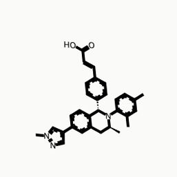 Cc1ccc(N2[C@@H](c3ccc(/C=C/C(=O)O)cc3)c3ccc(-c4cnn(C)c4)cc3C[C@@H]2C)c(C)c1